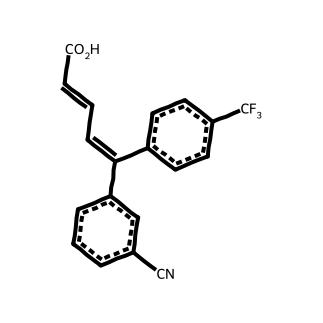 N#Cc1cccc(/C(=C/C=C/C(=O)O)c2ccc(C(F)(F)F)cc2)c1